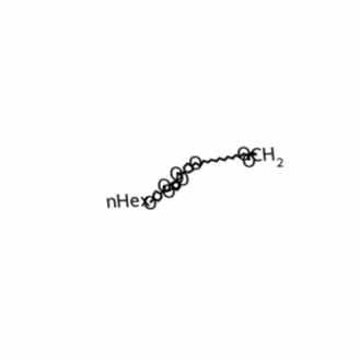 C=CC(=O)OCCCCCCCCCCCOC1CCC(C(=O)Oc2ccc(OC(=O)C3CCC(OCCCCCC)CC3)cc2)CC1